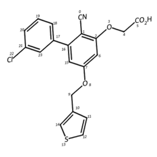 N#Cc1c(OCC(=O)O)cc(OCc2ccsc2)cc1-c1cccc(Cl)c1